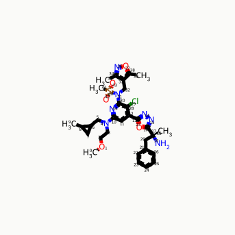 COCCN(CC1CC1C)c1cc(-c2nnc([C@](C)(N)Cc3ccccc3)o2)c(Cl)c(N(Cc2c(C)noc2C)S(C)(=O)=O)n1